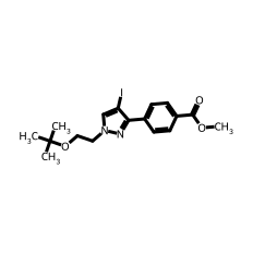 COC(=O)c1ccc(-c2nn(CCOC(C)(C)C)cc2I)cc1